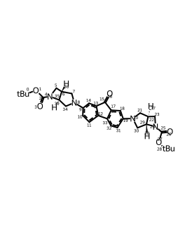 CC(C)(C)OC(=O)N1C[C@@H]2CN(c3ccc4c(c3)C(=O)c3cc(N5C[C@H]6CN(C(=O)OC(C)(C)C)[C@@H]6C5)ccc3-4)C[C@H]21